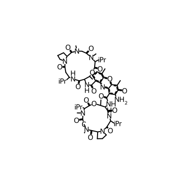 Cc1c2oc3c(C)ccc(C(=O)NC4C(=O)NC(C(C)C)CC(=O)N5CCCC5C(=O)N(C)CC(=O)N(C)C(C(C)C)C(=O)OC4C)c3nc-2c(C(=O)NC2C(=O)NC(C(C)C)C(=O)N3CCCC3C(=O)N(C)CC(=O)N(C)C(C(C)C)C(=O)OC2C)c(N)c1=O